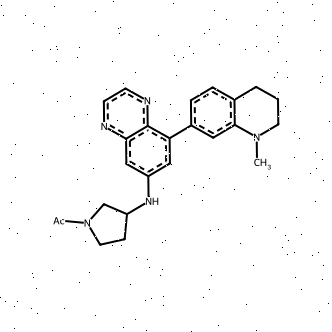 CC(=O)N1CCC(Nc2cc(-c3ccc4c(c3)N(C)CCC4)c3nccnc3c2)C1